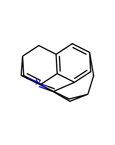 C1=CC2Cc3cc4cc(c31)C1=NC2CC(C1)C4